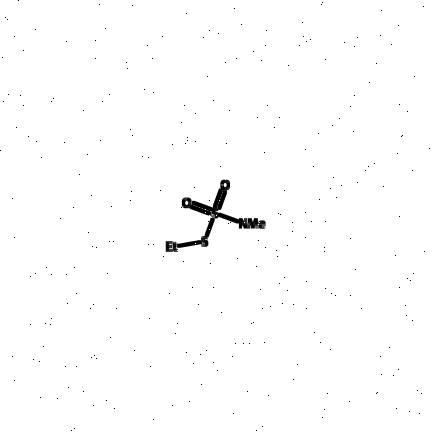 [CH2]NS(=O)(=O)SCC